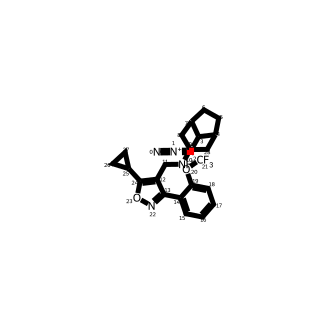 [N-]=[N+]=NC1C2CCC1CC(NCc1c(-c3ccccc3OC(F)(F)F)noc1C1CC1)C2